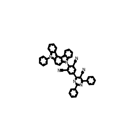 N#Cc1cc(-c2nc(-c3ccccc3)nc(-c3ccccc3)c2C#N)cc(C#N)c1-n1c2ccccc2c2c3c4ccccc4n(-c4ccccc4)c3ccc21